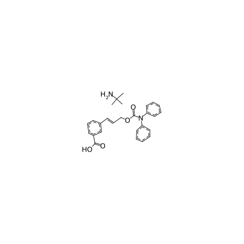 CC(C)(C)N.O=C(O)c1cccc(C=CCOC(=O)N(c2ccccc2)c2ccccc2)c1